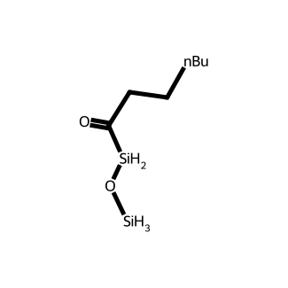 CCCCCCC(=O)[SiH2]O[SiH3]